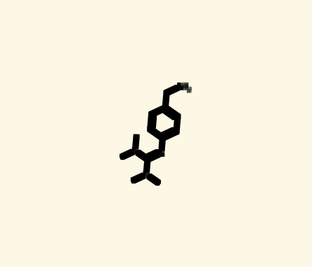 CN(C)C(=Nc1ccc(CN)cc1)N(C)C